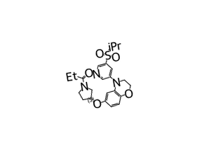 CCC(=O)N1CC[C@H](Oc2ccc3c(c2)N(c2cncc(S(=O)(=O)C(C)C)c2)CCO3)C1